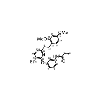 C=CC(=O)Nc1cccc(Oc2nc(CCc3ccc(OC)cc3OC)ncc2CC)c1